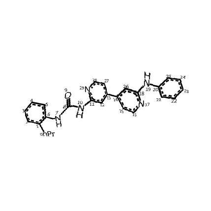 CCCc1ccccc1NC(=O)Nc1cc(-c2ccnc(Nc3ccccc3)c2)ccn1